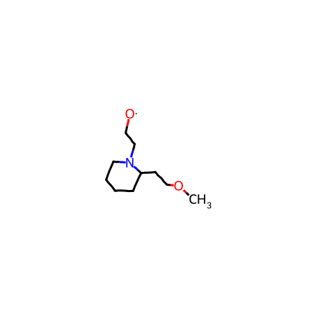 COCCC1CCCCN1CC[O]